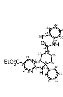 CCOC(=O)c1cnc(NC2(c3ccccc3)CCN(C(=O)Nc3ccccc3F)CC2)nc1